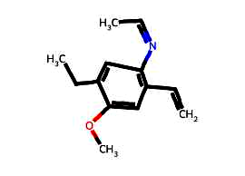 C=Cc1cc(OC)c(CC)cc1/N=C\C